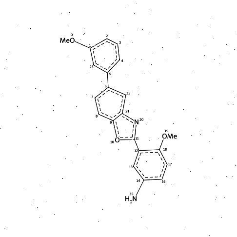 COc1cccc(-c2ccc3oc(-c4cc(N)ccc4OC)nc3c2)c1